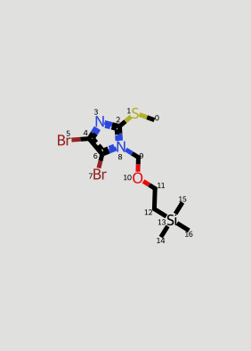 CSc1nc(Br)c(Br)n1COCC[Si](C)(C)C